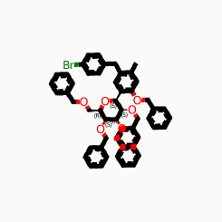 Cc1cc(OCc2ccccc2)c([C@@H]2O[C@H](COCc3ccccc3)[C@H](OCc3ccccc3)[C@H](OCc3ccccc3)[C@H]2OCc2ccccc2)cc1Cc1ccc(Br)cc1